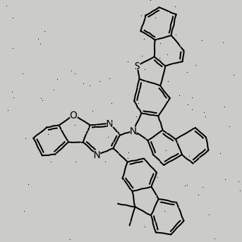 CC1(C)c2ccccc2-c2ccc(-c3nc4c(nc3-n3c5cc6sc7c8ccccc8ccc7c6cc5c5c6ccccc6ccc53)oc3ccccc34)cc21